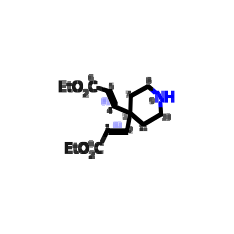 CCOC(=O)/C=C/C1(/C=C/C(=O)OCC)CCNCC1